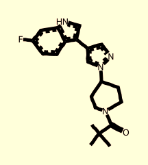 CC(C)(C)C(=O)N1CCC(n2cc(-c3c[nH]c4cc(F)ccc34)cn2)CC1